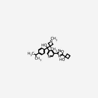 CC(C)c1ccc(C(O)(c2cncc(-c3noc(C4(O)CCC4)n3)c2)C2(C)CN(C)C2)cc1